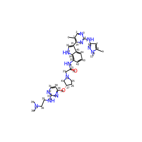 Cc1cnc(Nc2cc(C)n(C)n2)nc1-c1c[nH]c2c(NC(=O)CN3CC[C@H](Oc4ccnc(NCCN(C)C)n4)C3)cccc12